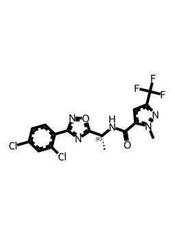 C[C@@H](NC(=O)c1cc(C(F)(F)F)nn1C)c1nc(-c2ccc(Cl)cc2Cl)no1